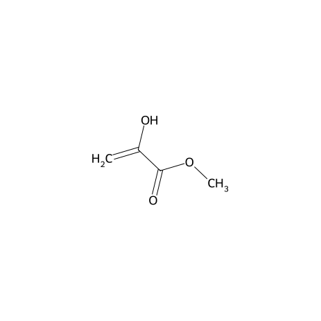 C=C(O)C(=O)OC